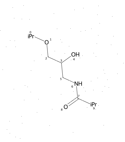 CC(C)OCC(O)CNC(=O)C(C)C